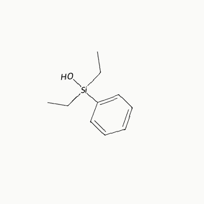 CC[Si](O)(CC)c1ccccc1